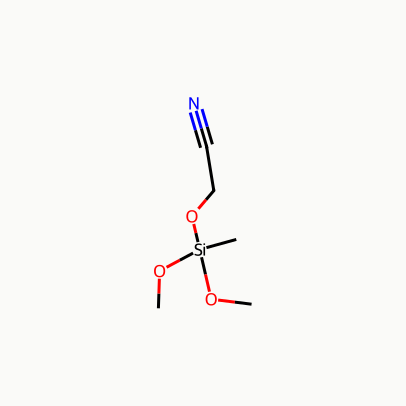 CO[Si](C)(OC)OCC#N